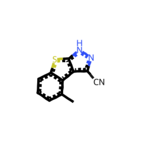 Cc1cccc2sc3[nH]nc(C#N)c3c12